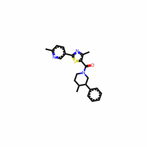 Cc1ccc(-c2nc(C)c(C(=O)N3CCC(C)C(c4ccccc4)C3)s2)cn1